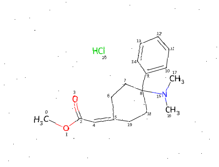 COC(=O)C=C1CCC(c2ccccc2)(N(C)C)CC1.Cl